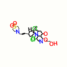 Cc1cc(=O)c2c(OCCO)ncc(Cl)c2n1-c1c(Cl)cc(C#CCN2CCS(=O)(=O)CC2)cc1Cl